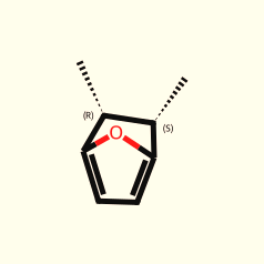 C[C@@H]1c2ccc(o2)[C@@H]1C